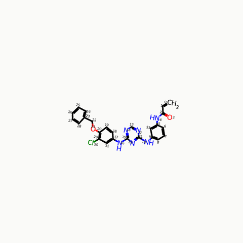 C=CC(=O)Nc1cccc(Nc2ncnc(Nc3ccc(OCc4ccccc4)c(Cl)c3)n2)c1